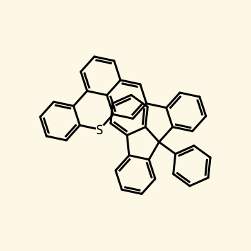 c1ccc(C2(c3ccccc3-c3cc4c5c(cccc5c3)-c3ccccc3S4)c3ccccc3-c3ccccc32)cc1